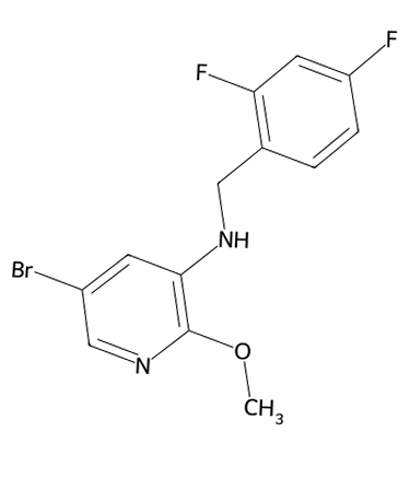 COc1ncc(Br)cc1NCc1ccc(F)cc1F